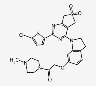 CN1CCN(C(=O)COc2ccc3c(c2)N(c2nc(-c4ccc(Cl)s4)nc4c2CS(=O)(=O)C4)CC3)CC1